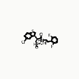 O=C(N/C=C/c1c(F)cccc1F)C(C[PH](=O)O)c1csc2ccc(Cl)cc12